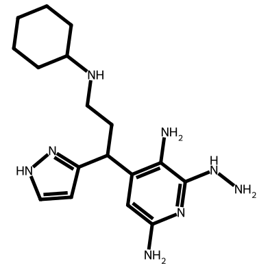 NNc1nc(N)cc(C(CCNC2CCCCC2)c2cc[nH]n2)c1N